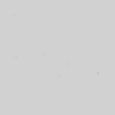 Cc1cc(O)ccc1N=Cc1ccc2ccccc2[n+]1C.Cc1ccc(S(=O)(=O)[O-])cc1